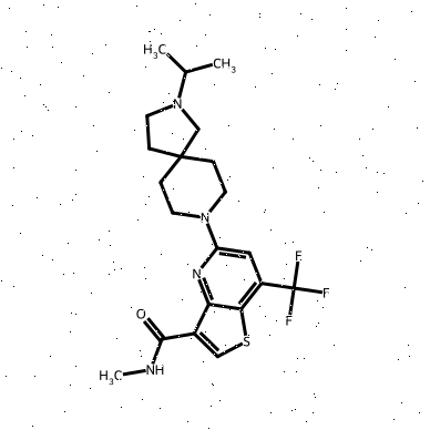 CNC(=O)c1csc2c(C(F)(F)F)cc(N3CCC4(CC3)CCN(C(C)C)C4)nc12